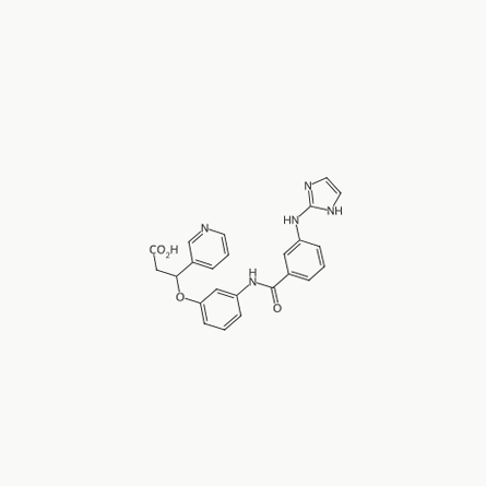 O=C(O)CC(Oc1cccc(NC(=O)c2cccc(Nc3ncc[nH]3)c2)c1)c1cccnc1